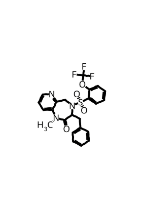 CN1C(=O)C(Cc2ccccc2)N(S(=O)(=O)c2ccccc2OC(F)(F)F)Cc2ncccc21